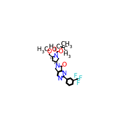 COC[C@@H]1C[C@@H](N2Cc3cnc(-c4cccc(C(F)(F)F)c4)nc3C2=O)CN1C(=O)OC(C)(C)C